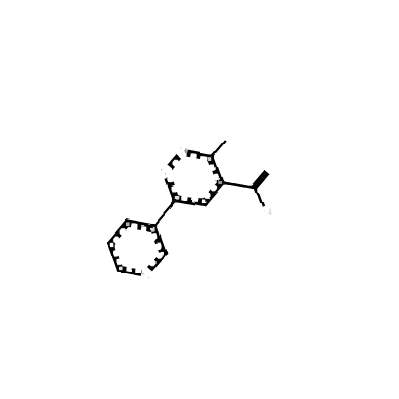 NC(=O)c1cc(-c2cccnc2)nnc1Cl